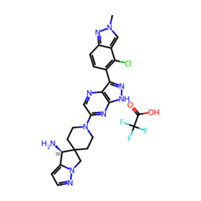 Cn1cc2c(Cl)c(-c3n[nH]c4nc(N5CCC6(CC5)Cn5nccc5[C@H]6N)cnc34)ccc2n1.O=C(O)C(F)(F)F